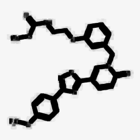 CC(C)(C)OC(=O)NCCOc1cccc(Cn2cc(-c3nc(-c4ccc(OC(F)(F)F)cc4)no3)ccc2=O)c1